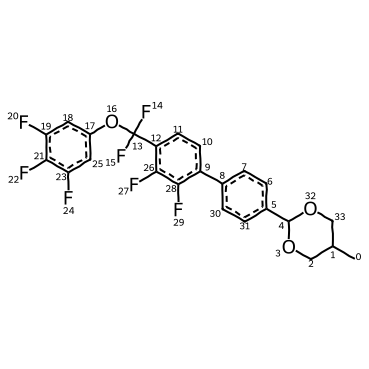 CC1COC(c2ccc(-c3ccc(C(F)(F)Oc4cc(F)c(F)c(F)c4)c(F)c3F)cc2)OC1